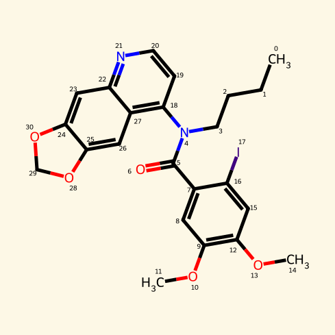 CCCCN(C(=O)c1cc(OC)c(OC)cc1I)c1ccnc2cc3c(cc12)OCO3